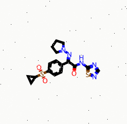 O=C(Nc1ncns1)/C(=N/N1CCCC1)c1ccc(S(=O)(=O)C2CC2)cc1